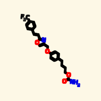 NC(=O)OCCCCc1ccc(OCc2coc(/C=C/c3ccc(C(F)(F)F)cc3)n2)cc1